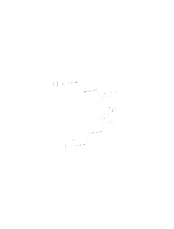 CCCCS(=O)(=O)NS(=O)(=O)CCCC